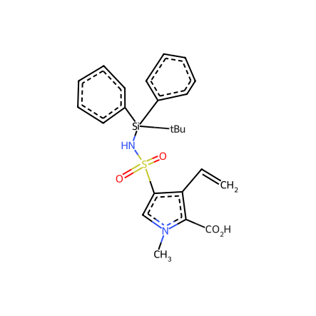 C=Cc1c(S(=O)(=O)N[Si](c2ccccc2)(c2ccccc2)C(C)(C)C)cn(C)c1C(=O)O